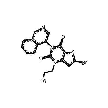 N#CCCn1c(=O)n(-c2cncc3ccccc23)c(=O)c2sc(Br)cc21